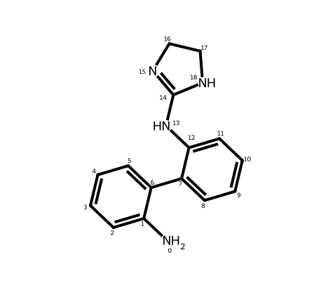 Nc1ccccc1-c1ccccc1NC1=NCCN1